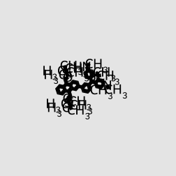 C/N=C1\C=CC2=C(c3cc(-c4ccc5c(CO[Si](C)(C)C(C)(C)C)c6ccccc6c(CO[Si](C)(C)C(C)(C)C)c5c4)ccc3C)c3ccc(NC)cc3[Si](C)(C)C2=C1